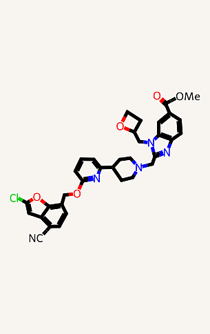 COC(=O)c1ccc2nc(CN3CCC(c4cccc(OCc5ccc(C#N)c6cc(Cl)oc56)n4)CC3)n(CC3CCO3)c2c1